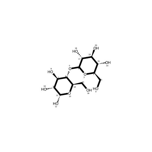 OC[C@H]1OC(O[C@H]2[C@H](O)[C@@H](O)[C@@H](O)O[C@@H]2CO)[C@H](O)[C@@H](O)[C@@H]1O